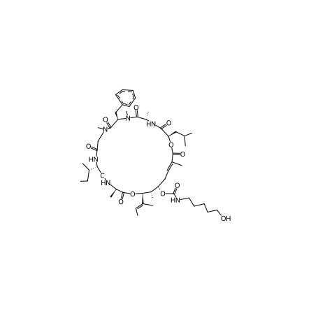 C/C=C(\C)[C@H]1OC(=O)[C@@H](C)NC[C@H](C(C)CC)NC(=O)CN(C)C(=O)[C@@H](Cc2ccccc2)N(C)C(=O)[C@H](C)NC(=O)[C@@H](CC(C)C)OC(=O)/C(C)=C/C[C@H](OC(=O)NCCCCCO)[C@@H]1C